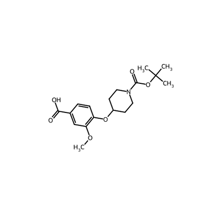 COc1cc(C(=O)O)ccc1OC1CCN(C(=O)OC(C)(C)C)CC1